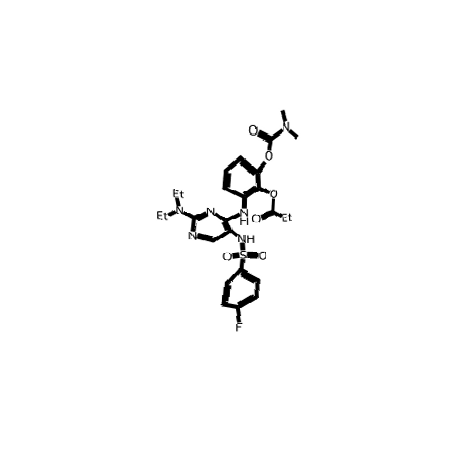 CCC(=O)Oc1c(Nc2nc(N(CC)CC)ncc2NS(=O)(=O)c2ccc(F)cc2)cccc1OC(=O)N(C)C